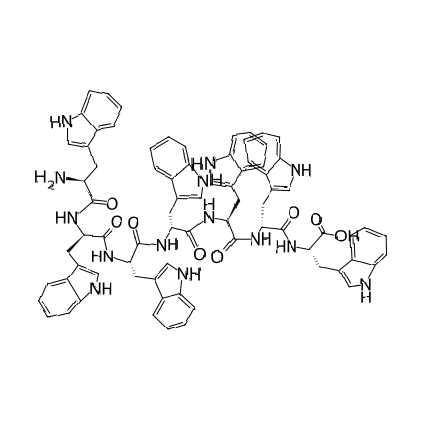 N[C@@H](Cc1c[nH]c2ccccc12)C(=O)N[C@H](Cc1c[nH]c2ccccc12)C(=O)N[C@@H](Cc1c[nH]c2ccccc12)C(=O)N[C@H](Cc1c[nH]c2ccccc12)C(=O)N[C@@H](Cc1c[nH]c2ccccc12)C(=O)N[C@H](Cc1c[nH]c2ccccc12)C(=O)N[C@@H](Cc1c[nH]c2ccccc12)C(=O)O